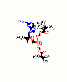 CC1CC1(Cn1cnc2cnc(N)nc21)OCP(=O)(OCOC(=O)C(C)(C)C)OCOC(=O)C(C)(C)C